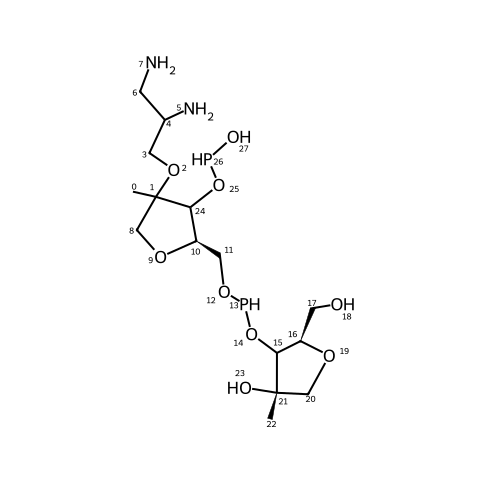 CC1(OCC(N)CN)CO[C@H](COPOC2[C@@H](CO)OC[C@]2(C)O)C1OPO